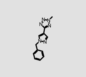 Cn1nnc(-c2cnn(Cc3ccccc3)c2)n1